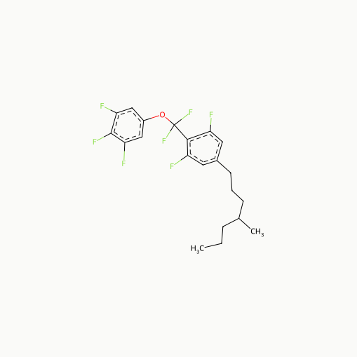 CCCC(C)CCCc1cc(F)c(C(F)(F)Oc2cc(F)c(F)c(F)c2)c(F)c1